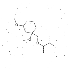 COC1CCCC(COC(C)C(C)C)(OC)C1